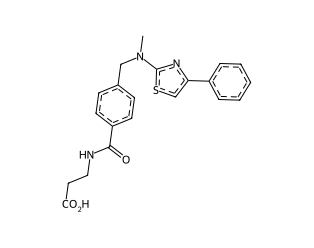 CN(Cc1ccc(C(=O)NCCC(=O)O)cc1)c1nc(-c2ccccc2)cs1